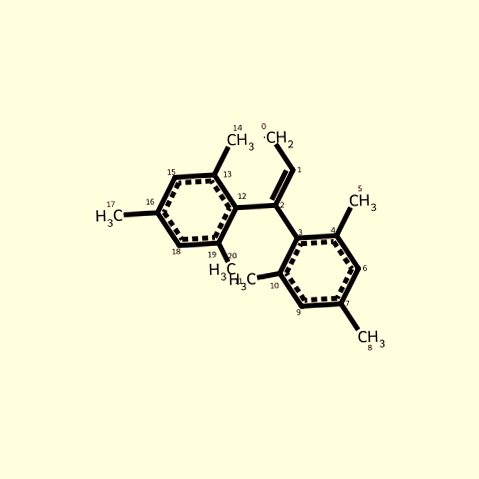 [CH2]C=C(c1c(C)cc(C)cc1C)c1c(C)cc(C)cc1C